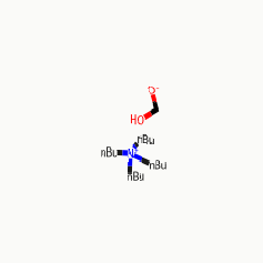 CCCC[N+](CCCC)(CCCC)CCCC.[O-]CO